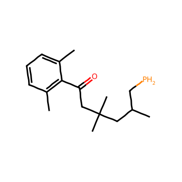 Cc1cccc(C)c1C(=O)CC(C)(C)CC(C)CP